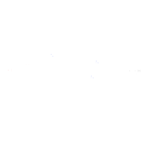 O=C(O)c1ccc2c(c1)nc(-c1ccc3nc(-c4cc5cccc(O)c5o4)ccc3c1)n2C1CCCCC1